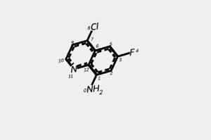 Nc1cc(F)cc2c(Cl)ccnc12